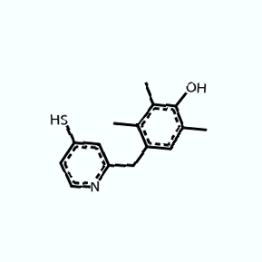 Cc1cc(Cc2cc(S)ccn2)c(C)c(C)c1O